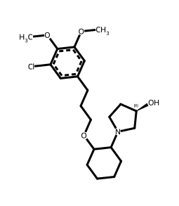 COc1cc(CCCOC2CCCCC2N2CC[C@@H](O)C2)cc(Cl)c1OC